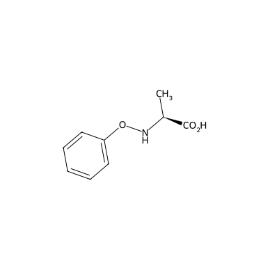 C[C@H](NOc1ccccc1)C(=O)O